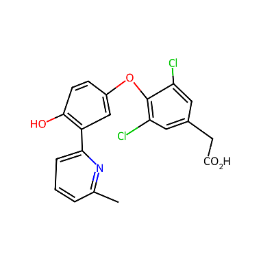 Cc1cccc(-c2cc(Oc3c(Cl)cc(CC(=O)O)cc3Cl)ccc2O)n1